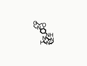 Ic1cn2ccnc2c(Nc2ccc3c(c2)OCC2COCCN32)n1